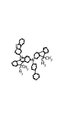 CC1(C)c2ccccc2-c2ccc(N(c3ccc(-c4ccccc4)cc3)c3ccc4c(c3)c3c(n4-c4ccc5sc6ccccc6c5c4)-c4ccccc4C3(C)C)cc21